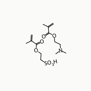 C=C(C)C(=O)OCCN(C)C.C=C(C)C(=O)OCCS(=O)(=O)O